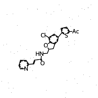 CC(=O)c1ccc(-c2cc(Cl)c3c(c2)CC(CNC(=O)C=Cc2ccccn2)O3)s1